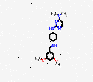 COc1cc(CN[C@H]2CC[C@@H](Nc3nccc(N(C)C)n3)CC2)cc(OC)c1